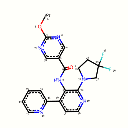 CC(C)Oc1ncc(C(=O)Nc2c(-c3ccccn3)ccnc2N2CCC(F)(F)C2)cn1